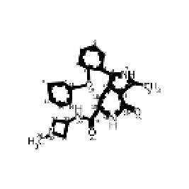 Cc1[nH]c(-c2ccccc2Oc2ccccc2)c2cc(C(=O)NC3CN(C)C3)[nH]c(=O)c12